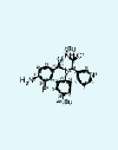 CC(C)(C)NC(=O)C(c1cccnc1)N(C(=O)c1ccc(N)c(F)c1)c1ccc(C(C)(C)C)cc1